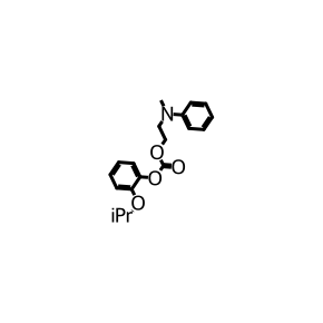 CC(C)Oc1ccccc1OC(=O)OCCN(C)c1ccccc1